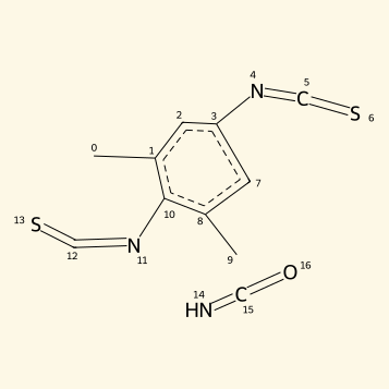 Cc1cc(N=C=S)cc(C)c1N=C=S.N=C=O